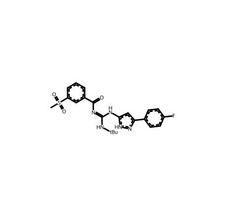 CC(C)(C)N/C(=N/C(=O)c1cccc(S(C)(=O)=O)c1)Nc1cc(-c2ccc(F)cc2)n[nH]1